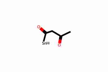 CC(=O)C[C](=O)[SnH]